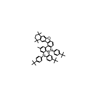 Cc1cc2c3c(c1)N(c1ccc(C(C)(C)C)cc1)c1ccc(C(C)(C)C)cc1B3N(c1ccc(C(C)(C)C)cc1)c1ccc3oc4cc5c(cc4c3c1-2)C(C)(C)CCC5(C)C